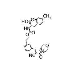 Cc1ccc(CC(NC(=O)OCCc2cccc(C=C(C#N)C(=O)N3C4CCC3COC4)c2)B(O)O)cc1